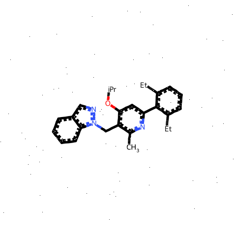 CCc1cccc(CC)c1-c1cc(OC(C)C)c(Cn2ncc3ccccc32)c(C)n1